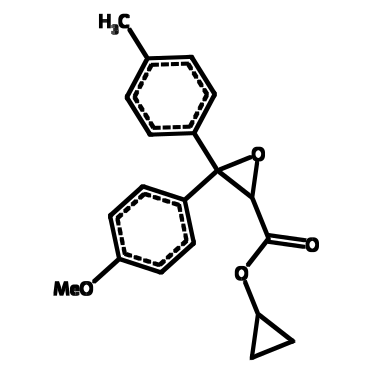 COc1ccc(C2(c3ccc(C)cc3)OC2C(=O)OC2CC2)cc1